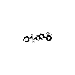 Cc1ccccc1-c1ccc2nc(NC(=O)N3CCOCC3)sc2n1